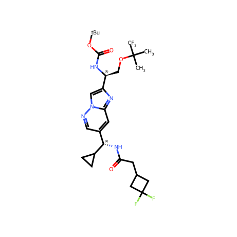 CC(C)(C)OC(=O)N[C@@H](COC(C)(C)C(F)(F)F)c1cn2ncc([C@H](NC(=O)CC3CC(F)(F)C3)C3CC3)cc2n1